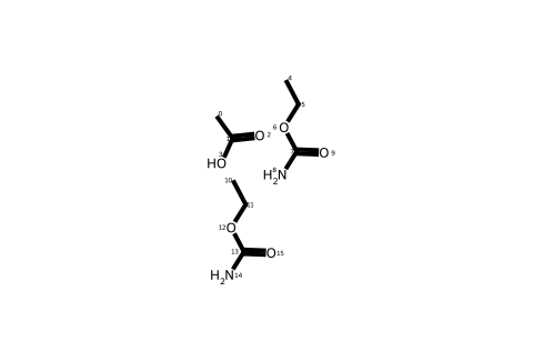 CC(=O)O.CCOC(N)=O.CCOC(N)=O